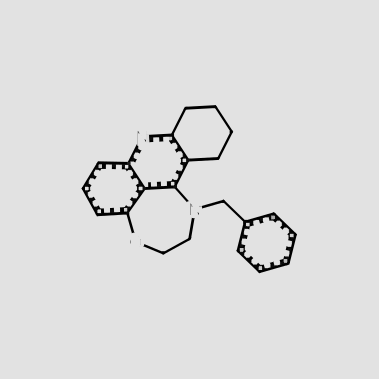 c1ccc(CN2CCOc3cccc4nc5c(c2c34)CCCC5)cc1